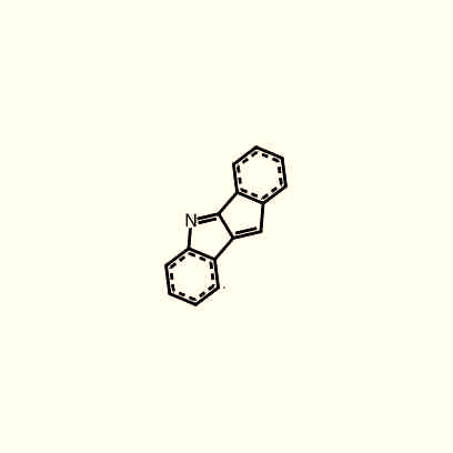 [c]1cccc2c1C1=Cc3ccccc3C1=N2